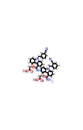 N#Cc1cccc(Cn2c3cccc(OCC(=O)O)c3c3c(C(N)=O)cccc32)c1.N#Cc1ccccc1Cn1c2cccc(OCC(=O)O)c2c2c(C(N)=O)cccc21